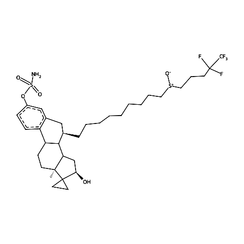 C[C@]12CCC3c4ccc(OS(N)(=O)=O)cc4C[C@@H](CCCCCCCCC[S+]([O-])CCCC(F)(F)C(F)(F)F)C3C1C[C@@H](O)C21CC1